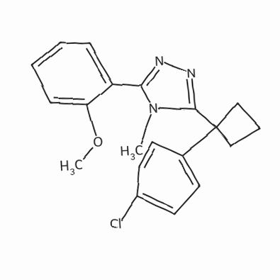 COc1ccccc1-c1nnc(C2(c3ccc(Cl)cc3)CCC2)n1C